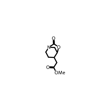 COC(=O)CC1CCN2CC1OC2=O